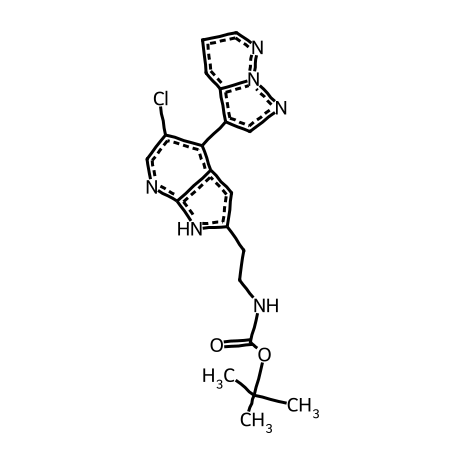 CC(C)(C)OC(=O)NCCc1cc2c(-c3cnn4ncccc34)c(Cl)cnc2[nH]1